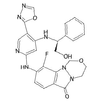 O=c1c2ccc(Nc3cc(N[C@H](CO)c4ccccc4)c(-c4nnco4)cn3)c(F)c2n2n1CCOC2